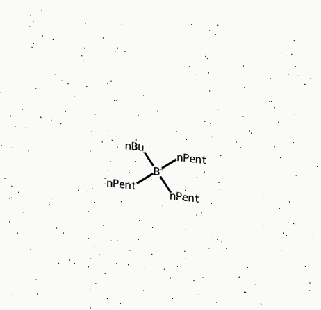 CCCCC[B-](CCCC)(CCCCC)CCCCC